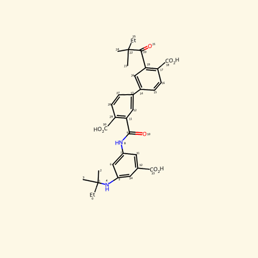 CCC(C)(C)Nc1cc(NC(=O)c2cc(-c3ccc(C(=O)O)c(C(=O)C(C)(C)CC)c3)ccc2C(=O)O)cc(C(=O)O)c1